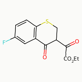 CCOC(=O)C(=O)C1CSc2ccc(F)cc2C1=O